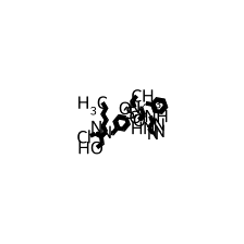 CCCCc1nc(Cl)c(CO)n1Cc1ccc(S(=O)(=O)N(CC)[C@H](Cc2ccccc2)C(=O)Nc2nnn[nH]2)cc1